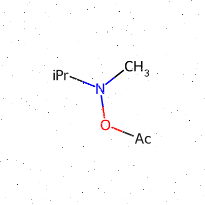 CC(=O)ON(C)C(C)C